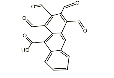 O=Cc1c(C=O)c(C=O)c2c(C(=O)O)c3ccccc3cc2c1C=O